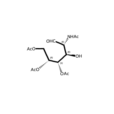 CC(=O)N[C@@H](C=O)[C@@H](O)[C@H](OC(C)=O)[C@@H](COC(C)=O)OC(C)=O